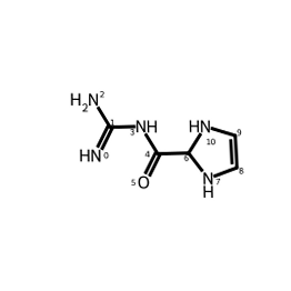 N=C(N)NC(=O)C1NC=CN1